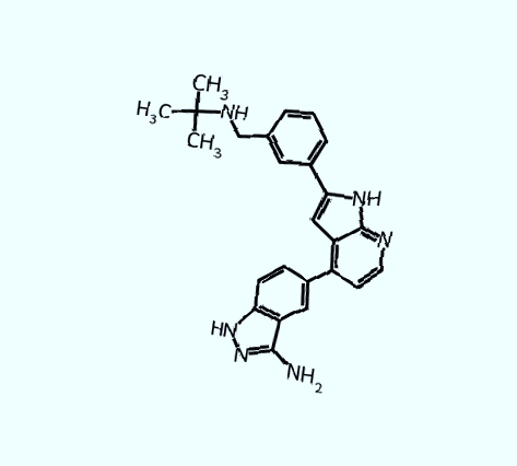 CC(C)(C)NCc1cccc(-c2cc3c(-c4ccc5[nH]nc(N)c5c4)ccnc3[nH]2)c1